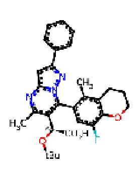 Cc1nc2cc(-c3ccccc3)nn2c(-c2cc(F)c3c(c2C)CCCO3)c1[C@H](OC(C)(C)C)C(=O)O